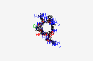 C=C(N)C1CCCNC(=O)CC[C@H](NC(=O)[C@H](CCCNC(=N)N)NC(C)=O)C(=O)N2C[C@H](O)C[C@H]2C(=O)N[C@H](Cc2ccccc2Cl)C(=O)N[C@@H](CCCNC(=N)N)C(=O)N[C@@H](Cc2c[nH]c3ccccc23)C(=O)N1